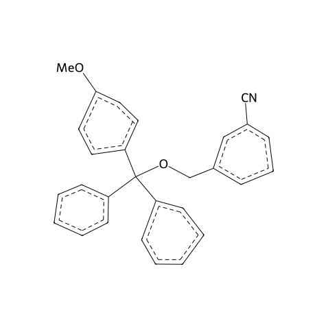 COc1ccc(C(OCc2cccc(C#N)c2)(c2ccccc2)c2ccccc2)cc1